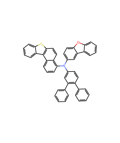 c1ccc(-c2ccc(N(c3ccc4oc5ccccc5c4c3)c3cccc4c3ccc3sc5ccccc5c34)cc2-c2ccccc2)cc1